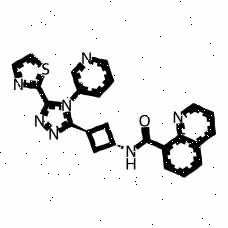 O=C(N[C@H]1C[C@H](c2nnc(-c3nccs3)n2-c2cccnc2)C1)c1cccc2cccnc12